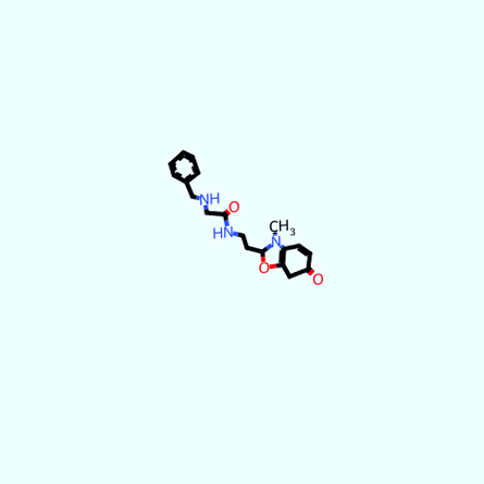 CN1C2=C(CC(=O)C=C2)OC1CCNC(=O)CNCc1ccccc1